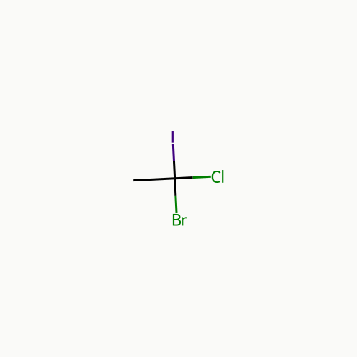 CC(Cl)(Br)I